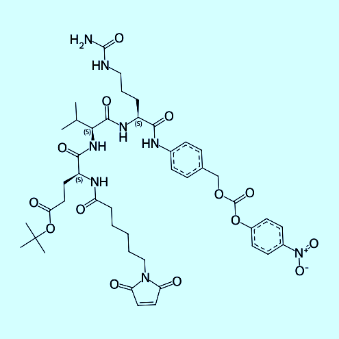 CC(C)[C@H](NC(=O)[C@H](CCC(=O)OC(C)(C)C)NC(=O)CCCCCN1C(=O)C=CC1=O)C(=O)N[C@@H](CCCNC(N)=O)C(=O)Nc1ccc(COC(=O)Oc2ccc([N+](=O)[O-])cc2)cc1